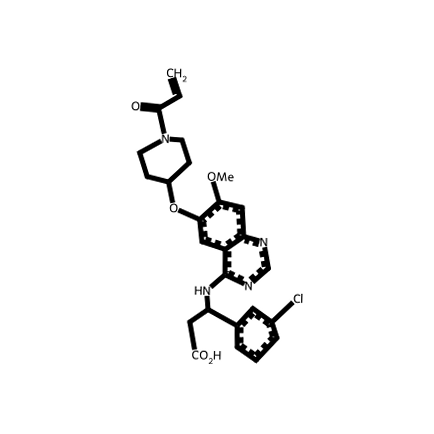 C=CC(=O)N1CCC(Oc2cc3c(NC(CC(=O)O)c4cccc(Cl)c4)ncnc3cc2OC)CC1